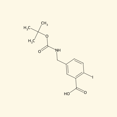 CC(C)(C)OC(=O)NCc1ccc(I)c(C(=O)O)c1